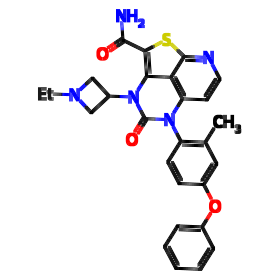 CCN1CC(N2C(=O)N(c3ccc(Oc4ccccc4)cc3C)c3ccnc4sc(C(N)=O)c2c34)C1